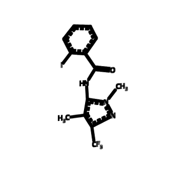 Cc1c(C(F)(F)F)nn(C)c1NC(=O)c1ccccc1I